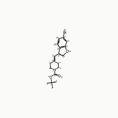 CC(C)(C)OC(=O)N1CCC(=CC2COc3cc(Br)ccc32)CC1